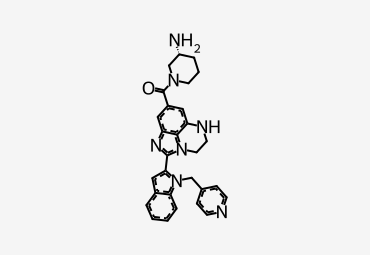 N[C@@H]1CCCN(C(=O)c2cc3c4c(c2)nc(-c2cc5ccccc5n2Cc2ccncc2)n4CCN3)C1